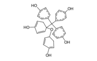 OC1=CC[C](OC2(C(c3ccc(O)cc3)(c3ccc(O)cc3)c3ccc(O)cc3)C=CC(O)=CC2)C=C1